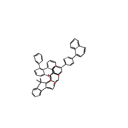 CC1(C)c2ccccc2-c2cccc(N(c3ccc(-c4ccc(-c5cccc6ccccc56)cc4)cc3)c3cccc(-c4ccccc4)c3-c3ccccc3-c3ccccc3)c21